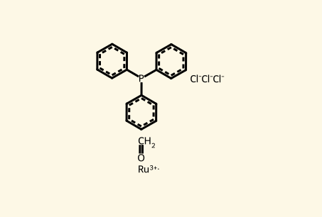 C=O.[Cl-].[Cl-].[Cl-].[Ru+3].c1ccc(P(c2ccccc2)c2ccccc2)cc1